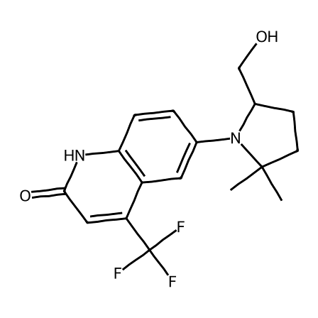 CC1(C)CCC(CO)N1c1ccc2[nH]c(=O)cc(C(F)(F)F)c2c1